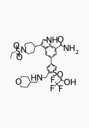 CCS(=O)(=O)N1CCC(c2c[nH]c3c(C(N)=O)cc(-c4csc(CNCC5CCOCC5)c4)cc23)CC1.O=C(O)C(F)(F)F